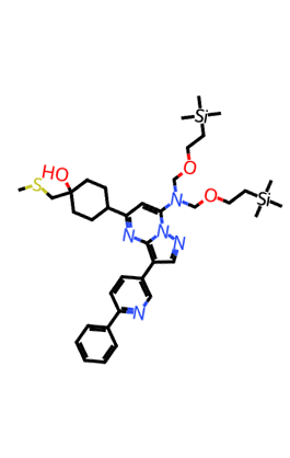 CSCC1(O)CCC(c2cc(N(COCC[Si](C)(C)C)COCC[Si](C)(C)C)n3ncc(-c4ccc(-c5ccccc5)nc4)c3n2)CC1